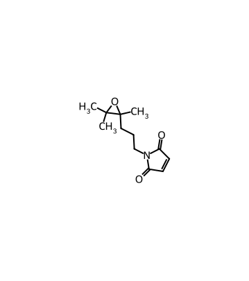 CC1(C)OC1(C)CCCN1C(=O)C=CC1=O